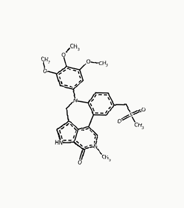 COc1cc(N2Cc3c[nH]c4c(=O)n(C)cc(c34)-c3cc(CS(C)(=O)=O)ccc32)cc(OC)c1OC